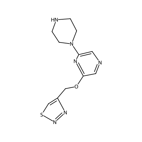 c1snnc1COc1cncc(N2CCNCC2)n1